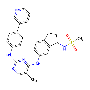 Cc1cnc(Nc2ccc(-c3cccnc3)cc2)nc1Nc1ccc2c(c1)C(NS(C)(=O)=O)CC2